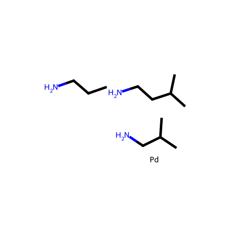 CC(C)CCN.CC(C)CN.CCCN.[Pd]